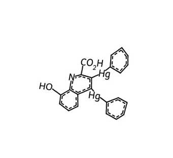 O=C(O)c1nc2c(O)cccc2[c]([Hg][c]2ccccc2)[c]1[Hg][c]1ccccc1